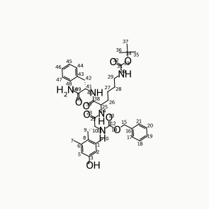 Cc1cc(O)cc(C)c1C[C@@H](NC(=O)OCc1ccccc1)C(=O)NC(CCCCNC(=O)OC(C)(C)C)C(=O)N[C@@H](Cc1ccccc1)C(N)=O